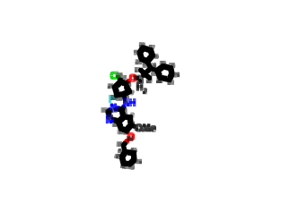 COc1cc2c(Nc3cc(O[SiH2]C(C)(C)C(c4ccccc4)c4ccccc4)c(Cl)cc3F)ncnc2cc1OCc1ccccc1